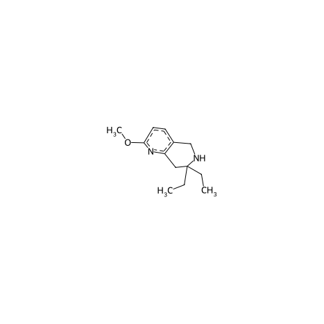 CCC1(CC)Cc2nc(OC)ccc2CN1